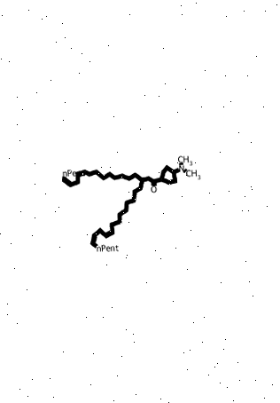 CCCCC/C=C\C/C=C\CCCCCCCCC(CCCCCCCC/C=C\C/C=C\CCCCC)CC(=O)C1CCC(N(C)C)CC1